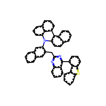 c1ccc2cc(N3c4ccc5ccccc5c4-c4cccc5cccc3c45)c(Cc3nc(-c4cccc5sc6ccccc6c45)c4ccccc4n3)cc2c1